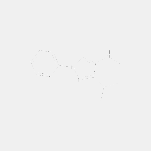 CNc1cn(-c2ccccc2)nc1C(C)C